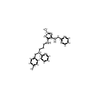 [O-][s+]1nc(NCCCN(Cc2ccc(F)cc2)c2ccccn2)c(NCc2ncccn2)n1